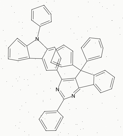 c1ccc(-c2nc(-c3ccc4c(c3)c3ccccc3n4-c3ccccc3)c3c(n2)-c2ccccc2C3(c2ccccc2)c2ccccc2)cc1